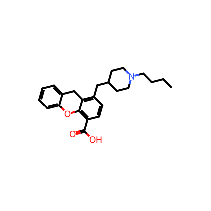 CCCCN1CCC(Cc2ccc(C(=O)O)c3c2Cc2ccccc2O3)CC1